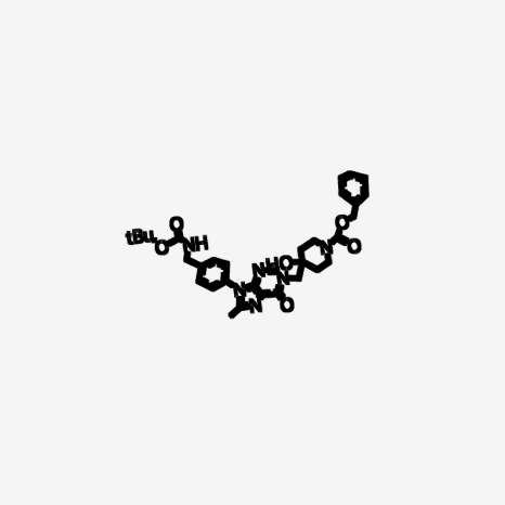 Cc1nc2c(=O)n(CC3(O)CCN(C(=O)OCc4ccccc4)CC3)cnc2n1-c1ccc(CNC(=O)OC(C)(C)C)cc1